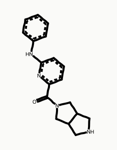 O=C(c1cccc(Nc2ccccc2)n1)N1CC2CNCC2C1